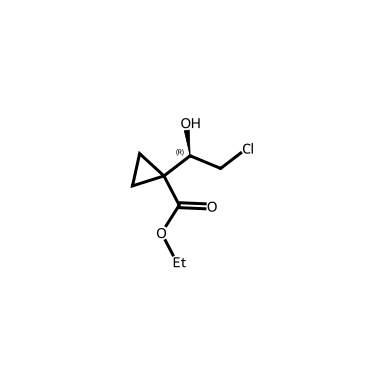 CCOC(=O)C1([C@@H](O)CCl)CC1